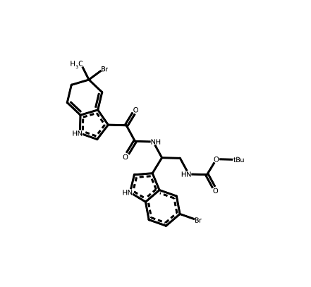 CC1(Br)C=c2c(C(=O)C(=O)NC(CNC(=O)OC(C)(C)C)c3c[nH]c4ccc(Br)cc34)c[nH]c2=CC1